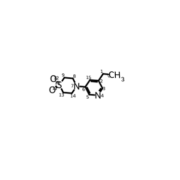 CCc1cncc(N2CCS(=O)(=O)CC2)c1